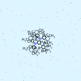 Bc1c(B)c(B)c(-c2cc3c4c(c2)N(c2ccc5c(c2)C(C)(C)CCC5(C)C)c2sc5c(c2B4c2cc4c(cc2N3c2ccc3c(c2)C(C)(C)CCC3(C)C)C(C)(C)CCC4(C)C)C(C)(C)CCC5(C)C)c(B)c1B